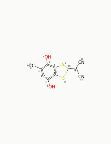 Cc1cc(O)c2c(c1O)SC(C(C#N)C#N)S2